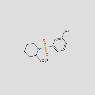 CC(C)(C)c1cccc(S(=O)(=O)N2CCCCC2C(=O)O)c1